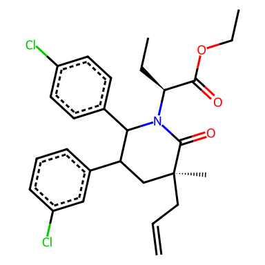 C=CC[C@@]1(C)CC(c2cccc(Cl)c2)C(c2ccc(Cl)cc2)N([C@@H](CC)C(=O)OCC)C1=O